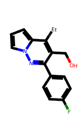 CCc1c(CO)c(-c2ccc(F)cc2)nn2cccc12